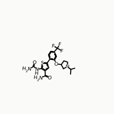 CC(C)N1CCC(Oc2cc(C(F)(F)F)ccc2-c2cc(C(N)=O)c(NC(N)=O)s2)C1